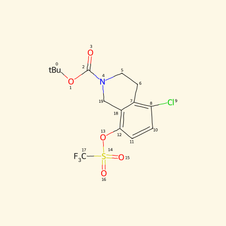 CC(C)(C)OC(=O)N1CCc2c(Cl)ccc(OS(=O)(=O)C(F)(F)F)c2C1